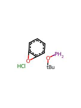 CC(C)(C)OP.Cl.c1ccc2c(c1)O2